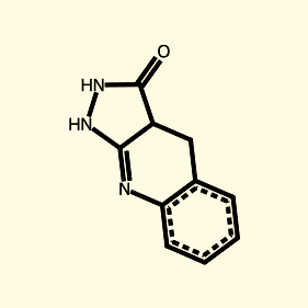 O=C1NNC2=Nc3ccccc3CC12